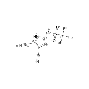 N#Cc1nc(NS(=O)(=O)C(F)(F)F)[nH]c1C#N